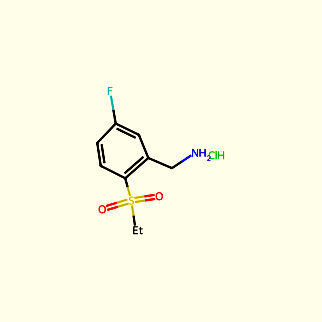 CCS(=O)(=O)c1ccc(F)cc1CN.Cl